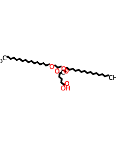 CCCCCCCCCCCCCCCCOCC(COCCCCCCCCCCCCCCCC)OC(=C=O)CCCC(=O)O